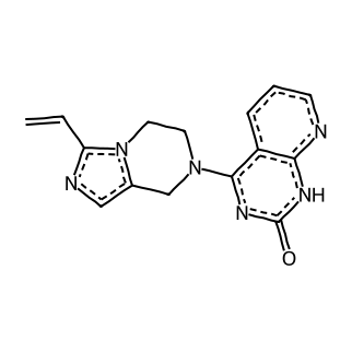 C=Cc1ncc2n1CCN(c1nc(=O)[nH]c3ncccc13)C2